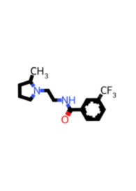 CC1CCCN1CCNC(=O)c1cccc(C(F)(F)F)c1